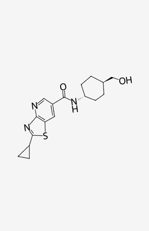 O=C(N[C@H]1CC[C@H](CO)CC1)c1cnc2nc(C3CC3)sc2c1